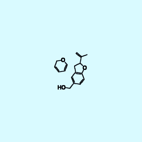 C1=CCOC=C1.C=C(C)C1Cc2cc(CO)ccc2O1